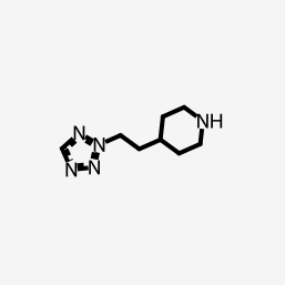 c1nnn(CCC2CCNCC2)n1